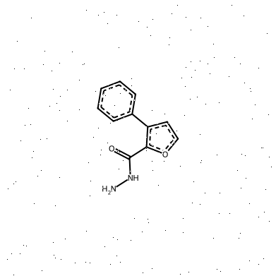 NNC(=O)c1occc1-c1ccccc1